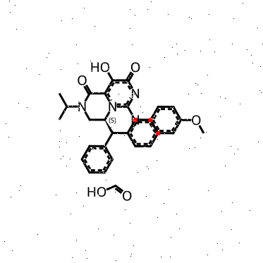 COc1ccc(N(C)c2nc(=O)c(O)c3n2[C@@H](C(c2ccccc2)c2ccccc2)CN(C(C)C)C3=O)cc1.O=CO